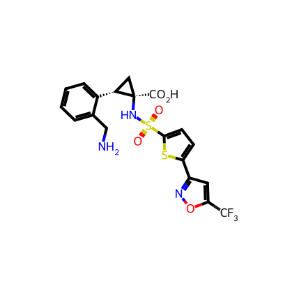 NCc1ccccc1[C@@H]1C[C@]1(NS(=O)(=O)c1ccc(-c2cc(C(F)(F)F)on2)s1)C(=O)O